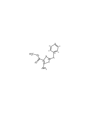 COC(=O)C1=C(N)CN(Cc2ccccc2)C1